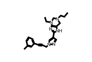 CCCN1Cc2[nH]c(-c3cnn(CC#Cc4cccc(C)c4)c3)nc2N(CC)C1